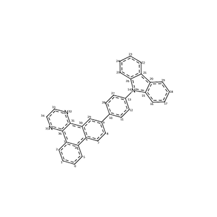 c1ccc2c(c1)c1ccc(-c3ccc(-n4c5ccccc5c5ccccc54)cc3)cc1c1nccnc21